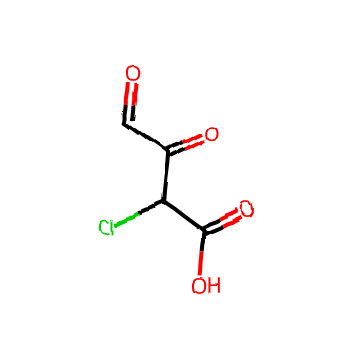 O=CC(=O)C(Cl)C(=O)O